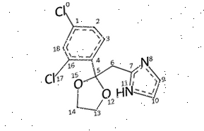 Clc1ccc(C2(Cc3ncc[nH]3)OCCO2)c(Cl)c1